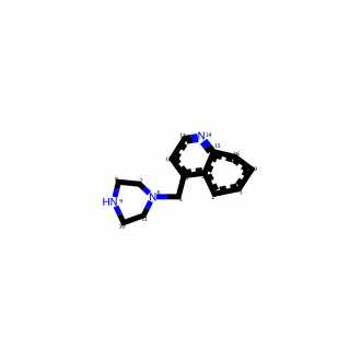 c1ccc2c(CN3CCNCC3)ccnc2c1